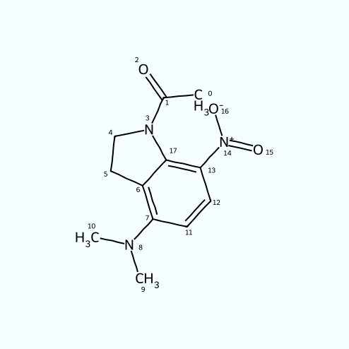 CC(=O)N1CCc2c(N(C)C)ccc([N+](=O)[O-])c21